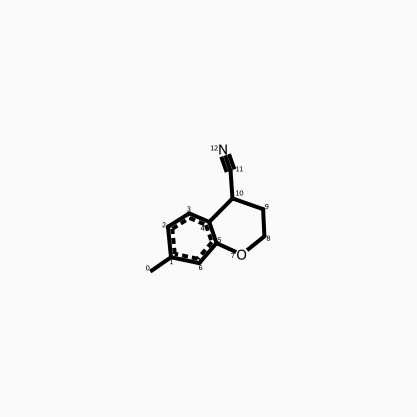 Cc1ccc2c(c1)OCCC2C#N